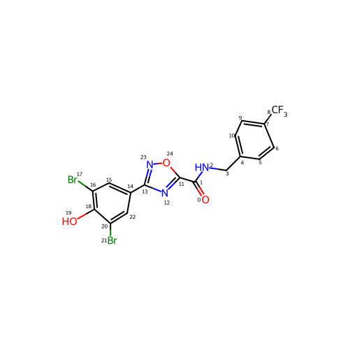 O=C(NCc1ccc(C(F)(F)F)cc1)c1nc(-c2cc(Br)c(O)c(Br)c2)no1